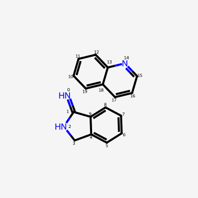 N=C1NCc2ccccc21.c1ccc2ncccc2c1